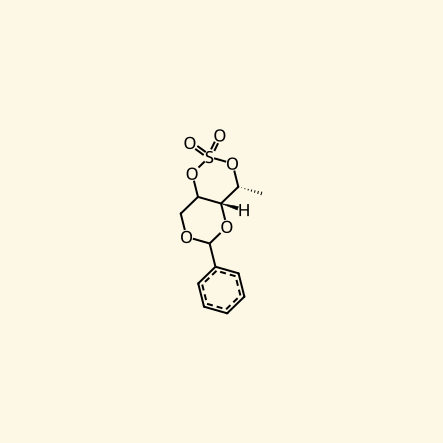 C[C@H]1OS(=O)(=O)OC2COC(c3ccccc3)O[C@H]21